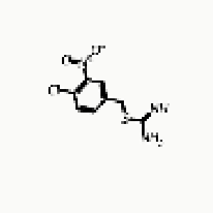 N=C(N)SCc1ccc(Cl)c([N+](=O)[O-])c1